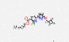 COCCOC(=O)c1ccc(-n2ccc(OCC3CCC3)n2)nc1Cl